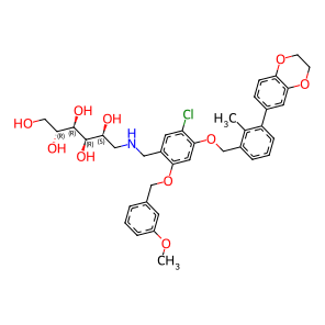 COc1cccc(COc2cc(OCc3cccc(-c4ccc5c(c4)OCCO5)c3C)c(Cl)cc2CNC[C@H](O)[C@@H](O)[C@H](O)[C@H](O)CO)c1